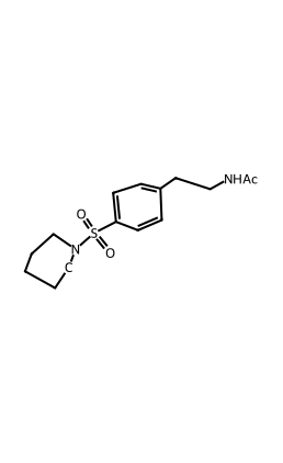 CC(=O)NCCc1ccc(S(=O)(=O)N2CCCCC2)cc1